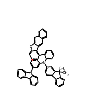 CC1(C)c2ccccc2-c2ccc(N(c3cccc(-n4c5ccccc5c5ccccc54)c3)c3ccccc3-c3cccc4oc5cc6ccccc6cc5c34)cc21